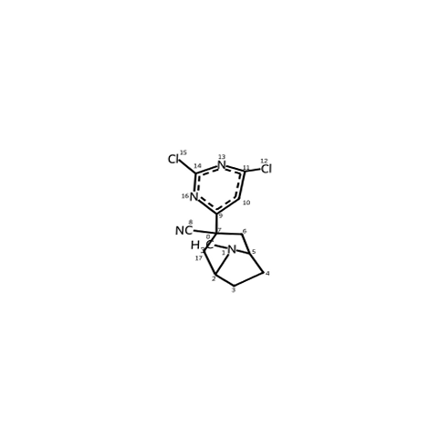 CN1C2CCC1CC(C#N)(c1cc(Cl)nc(Cl)n1)C2